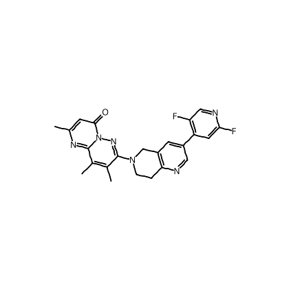 Cc1cc(=O)n2nc(N3CCc4ncc(-c5cc(F)ncc5F)cc4C3)c(C)c(C)c2n1